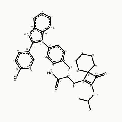 CC(C)SC1=C(N[C@@H](Cc2ccc(-n3c(-c4ccc(Cl)nc4)nc4cccnc43)cc2)C(=O)O)C2(CCCCC2)C1=O